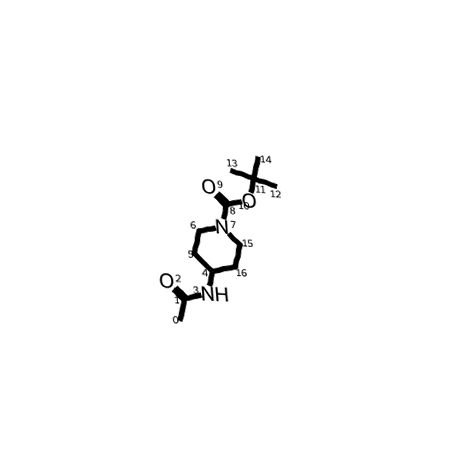 CC(=O)NC1CCN(C(=O)OC(C)(C)C)CC1